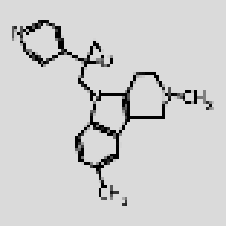 Cc1ccc2c(c1)c1c(n2CC2(c3ccncc3)CO2)CCN(C)C1